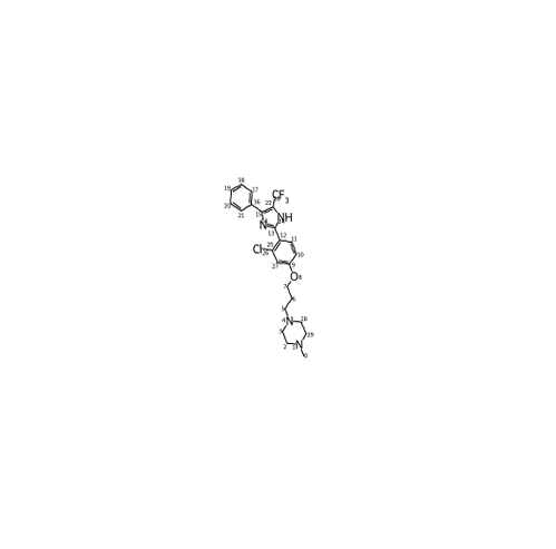 CN1CCN(CCCOc2ccc(-c3nc(-c4ccccc4)c(C(F)(F)F)[nH]3)c(Cl)c2)CC1